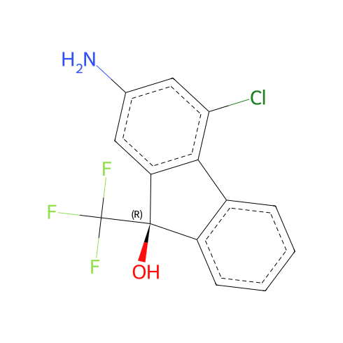 Nc1cc(Cl)c2c(c1)[C@@](O)(C(F)(F)F)c1ccccc1-2